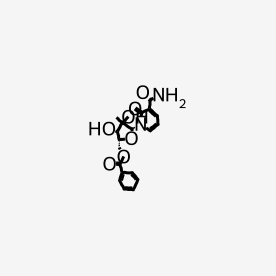 CC1(O)C(O)[C@@H](COC(=O)c2ccccc2)O[C@H]1n1cccc(C(N)=O)c1=O